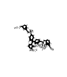 CCN(Cc1ccc[c]([Na])c1S(=O)(=O)O)c1ccc(C(=C2C=CC(=[N+](CC)Cc3cccc(S(=O)(=O)O)c3)C=C2)c2cccc(S(=O)(=O)O)[c]2[Na])cc1.[AlH3]